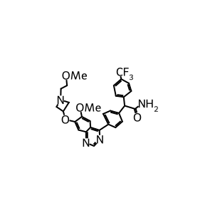 COCCN1CC(Oc2cc3ncnc(-c4ccc(C(C(N)=O)c5ccc(C(F)(F)F)cc5)cc4)c3cc2OC)C1